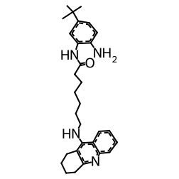 CC(C)(C)c1ccc(N)c(NC(=O)CCCCCCNc2c3c(nc4ccccc24)CCCC3)c1